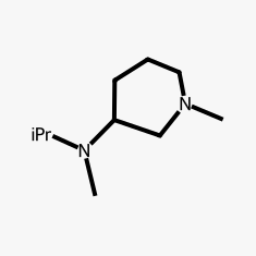 CC(C)N(C)C1CCCN(C)C1